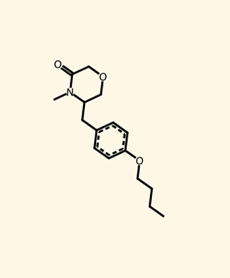 CCCCOc1ccc(CC2COCC(=O)N2C)cc1